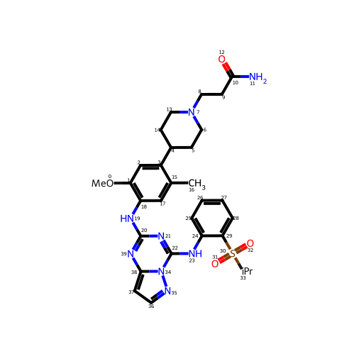 COc1cc(C2CCN(CCC(N)=O)CC2)c(C)cc1Nc1nc(Nc2ccccc2S(=O)(=O)C(C)C)n2nccc2n1